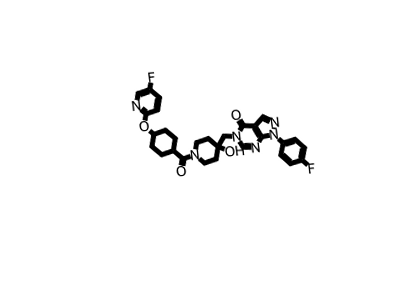 O=C(C1CCC(Oc2ccc(F)cn2)CC1)N1CCC(O)(Cn2cnc3c(cnn3-c3ccc(F)cc3)c2=O)CC1